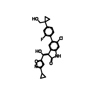 O=C1Nc2cc(Cl)c(-c3ccc(C4(CO)CC4)cc3F)cc2C1=C(O)c1cc(C2CC2)no1